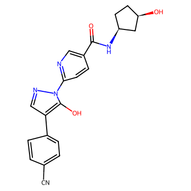 N#Cc1ccc(-c2cnn(-c3ccc(C(=O)N[C@H]4CC[C@@H](O)C4)cn3)c2O)cc1